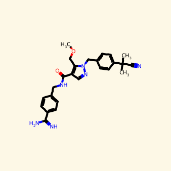 COCc1c(C(=O)NCc2ccc(C(=N)N)cc2)cnn1Cc1ccc(C(C)(C)C#N)cc1